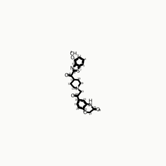 COc1cccc2sc(C(=O)C3CCN(CC(=O)c4ccc5c(c4)NC(=O)CO5)CC3)nc12